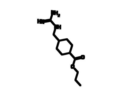 CCCOC(=O)C1CCC(CNC(=N)N)CC1